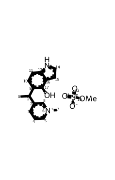 CC(c1ccc[n+](C)c1)c1ccc2[nH]ccc2c1O.COS(=O)(=O)[O-]